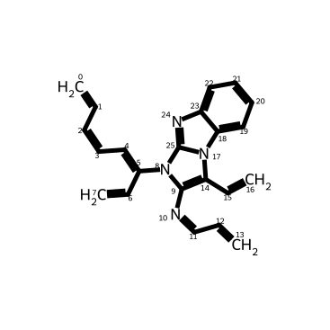 C=C/C=C\C=C(/C=C)n1c(/N=C\C=C)c(C=C)n2c3ccccc3nc12